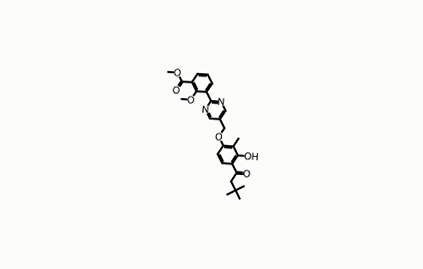 COC(=O)c1cccc(-c2ncc(COc3ccc(C(=O)CC(C)(C)C)c(O)c3C)cn2)c1OC